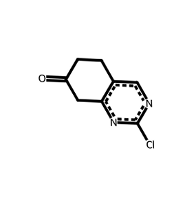 O=C1CCc2cnc(Cl)nc2C1